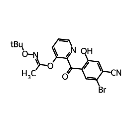 CC(=NOC(C)(C)C)Oc1cccnc1C(=O)c1cc(Br)c(C#N)cc1O